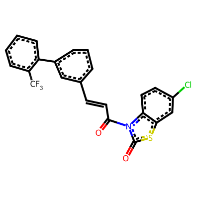 O=C(C=Cc1cccc(-c2ccccc2C(F)(F)F)c1)n1c(=O)sc2cc(Cl)ccc21